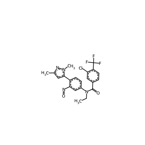 CCN(C(=O)c1ccc(C(F)(F)F)c(Cl)c1)c1ccc(-c2cc(C)nn2C)c(N=O)c1